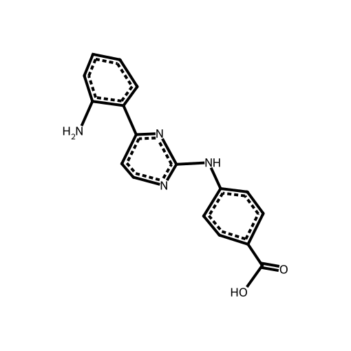 Nc1ccccc1-c1ccnc(Nc2ccc(C(=O)O)cc2)n1